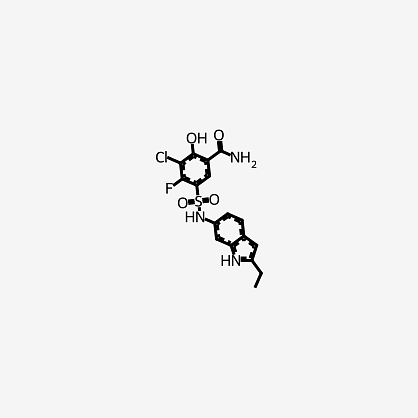 CCc1cc2ccc(NS(=O)(=O)c3cc(C(N)=O)c(O)c(Cl)c3F)cc2[nH]1